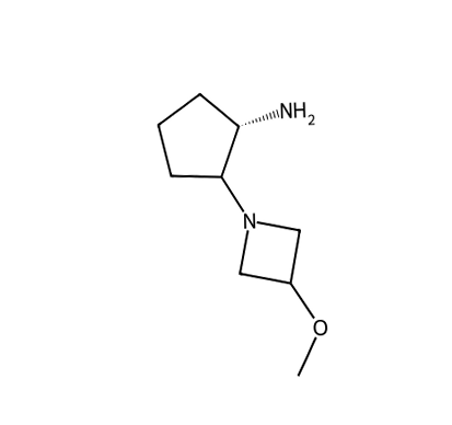 COC1CN(C2CCC[C@@H]2N)C1